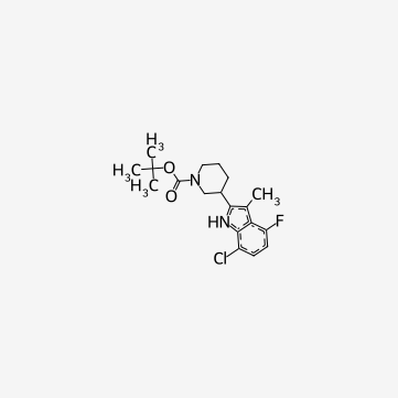 Cc1c(C2CCCN(C(=O)OC(C)(C)C)C2)[nH]c2c(Cl)ccc(F)c12